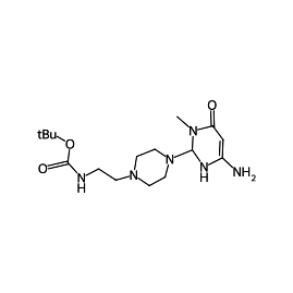 CN1C(=O)C=C(N)NC1N1CCN(CCNC(=O)OC(C)(C)C)CC1